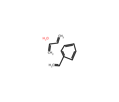 C=CC=C.C=Cc1ccccc1.O